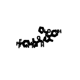 CC1=CC(NC(=O)c2cnn(-c3ccc(C(F)(F)F)cn3)c2C)=CN(C(=O)N2CCCC2)C1C1=CCNCC1